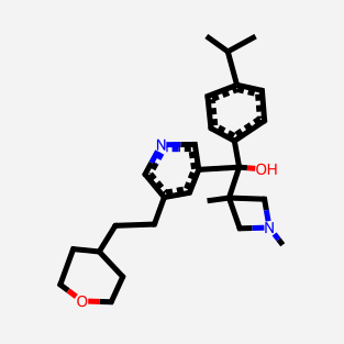 CC(C)c1ccc(C(O)(c2cncc(CCC3CCOCC3)c2)C2(C)CN(C)C2)cc1